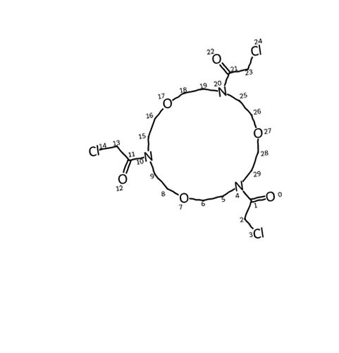 O=C(CCl)N1CCOCCN(C(=O)CCl)CCOCCN(C(=O)CCl)CCOCC1